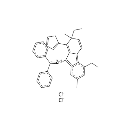 CCc1cc(C)cc2c1=C1C=CC(C)(CC)C(C3=CC=CC3)=C1[C]=2[Zr+2]=[C](c1ccccc1)c1ccccc1.[Cl-].[Cl-]